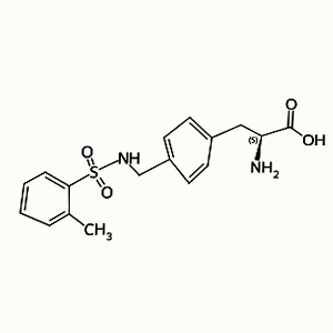 Cc1ccccc1S(=O)(=O)NCc1ccc(C[C@H](N)C(=O)O)cc1